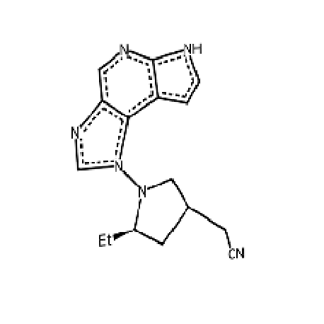 CC[C@@H]1CC(CC#N)CN1n1cnc2cnc3[nH]ccc3c21